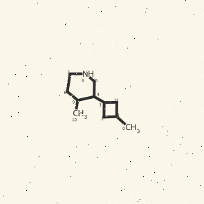 CC1CC(C2CNCCC2C)C1